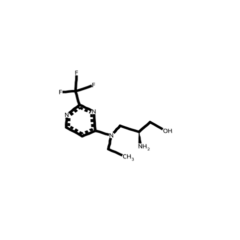 CCN(C[C@H](N)CO)c1ccnc(C(F)(F)F)n1